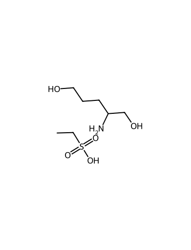 CCS(=O)(=O)O.NC(CO)CCCO